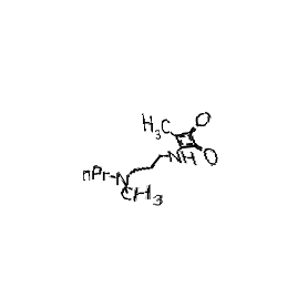 CCCN(C)CCCNc1c(C)c(=O)c1=O